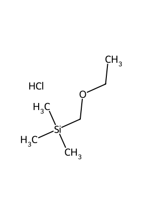 CCOC[Si](C)(C)C.Cl